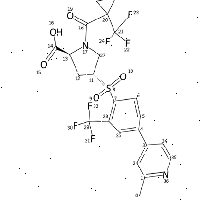 Cc1cc(-c2ccc(S(=O)(=O)[C@@H]3C[C@@H](C(=O)O)N(C(=O)C4(C(F)(F)F)CC4)C3)c(C(F)(F)F)c2)ccn1